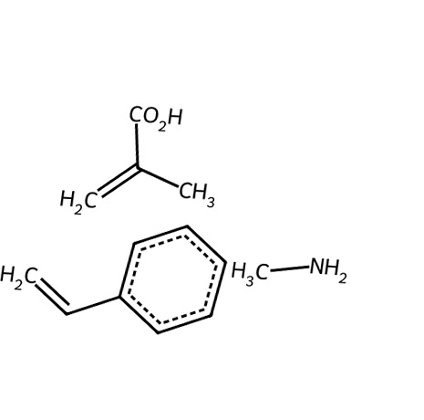 C=C(C)C(=O)O.C=Cc1ccccc1.CN